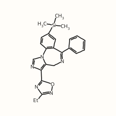 CCc1noc(-c2ncn3c2CN=C(c2ccccc2)c2cc([Si](C)(C)C)ccc2-3)n1